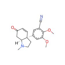 COc1cc([C@@]23C=CC(=O)C[C@@H]2N(C)CC3)cc(C#N)c1OC